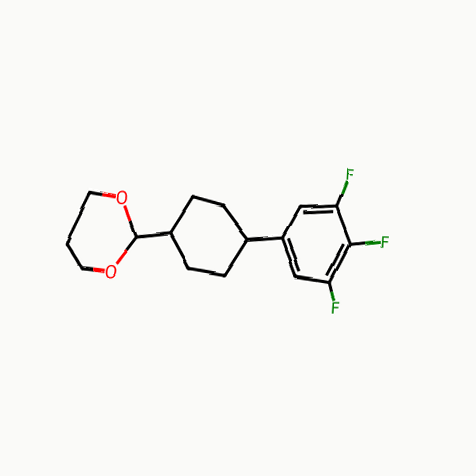 Fc1cc(C2CCC(C3OCCCO3)CC2)cc(F)c1F